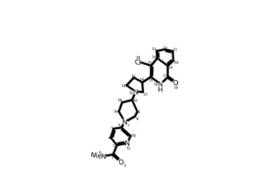 CNC(=O)c1ccc(N2CCC(N3CCC(c4[nH]c(=O)c5ccccc5c4Cl)C3)CC2)cn1